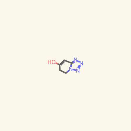 OC1=Cc2nnnn2CC1